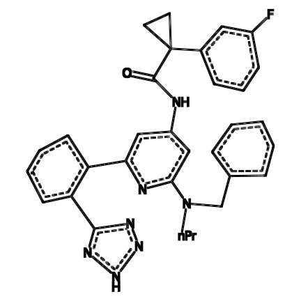 CCCN(Cc1ccccc1)c1cc(NC(=O)C2(c3cccc(F)c3)CC2)cc(-c2ccccc2-c2nn[nH]n2)n1